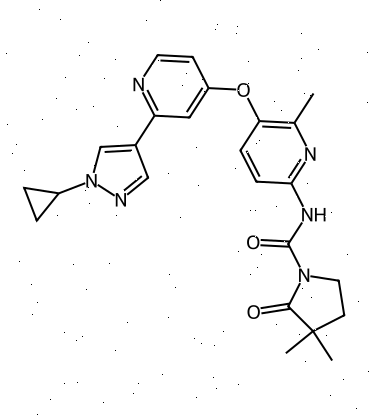 Cc1nc(NC(=O)N2CCC(C)(C)C2=O)ccc1Oc1ccnc(-c2cnn(C3CC3)c2)c1